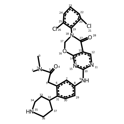 CN(C)C(=O)Cc1cc(Nc2ncc3c(n2)OCN(c2c(Cl)cccc2Cl)C3=O)ccc1C1CCNCC1